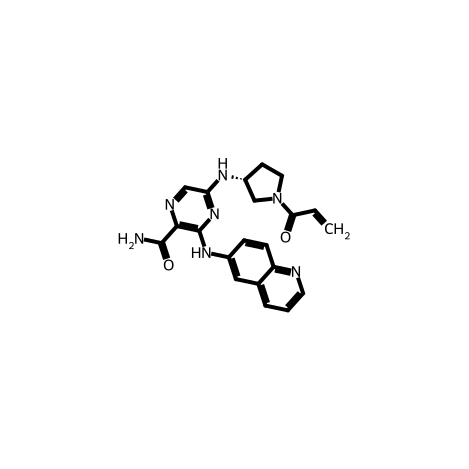 C=CC(=O)N1CC[C@@H](Nc2cnc(C(N)=O)c(Nc3ccc4ncccc4c3)n2)C1